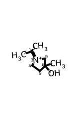 CC(C)=[N+]1CCC(C)(O)C1